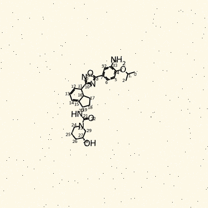 CC(C)Oc1ccc(-c2nc(C3C=CC=C4C3CC[C@@H]4NC(=O)N3CCC[C@H](O)C3)no2)cc1N